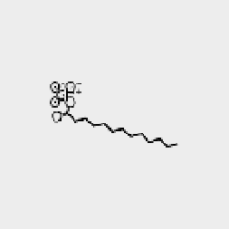 CCCCCCCCCCCCC(=O)O[Cl+3]([O-])([O-])[O-]